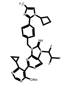 COc1ncnc(C2CC2)c1-c1ncc2c(n1)n(Cc1ccc(-c3nc(C(F)(F)F)cn3C3CCC3)cc1)c(=N)n2C(F)C(F)F